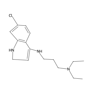 CCN(CC)CCCNC1=CCNc2cc(Cl)ccc21